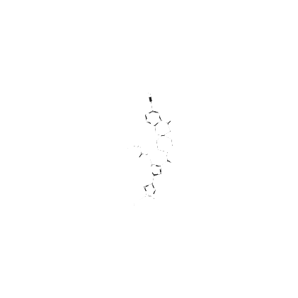 CNC(=O)Nc1sc(-c2cnn(C)c2)cc1C(=O)N1CCC2(CC1)CC(=O)c1cc(C#N)ccc1O2